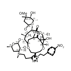 C=C1CO[C@@H]2[C@@H](C)/C(=N/O)[C@H](C)C[C@@](C)(OC1)[C@H](O[C@@H]1O[C@H](C)C[C@H](N(C)CCc3cn(CCc4ccc([N+](=O)[O-])cc4)nn3)[C@H]1O)[C@@H](C)[C@H](O[C@H]1C[C@@](C)(OC)[C@@H](O)[C@H](C)O1)[C@@H](C)C(=O)O[C@H](CC)[C@@]2(C)O